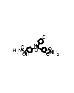 NC(=O)N(O)c1ccc(-c2nc(-c3ccc(Cl)cc3)c(-c3ccc(S(N)(=O)=O)cc3)o2)cc1